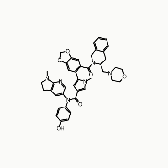 CN1CCc2cc(N(C(=O)c3cc(-c4cc5c(cc4C(=O)N4Cc6ccccc6C[C@H]4CN4CCOCC4)OCO5)n(C)c3)c3ccc(O)cc3)cnc21